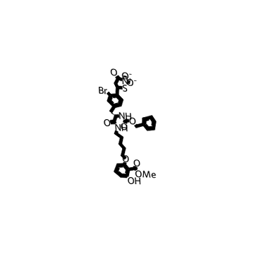 COC(=O)c1c(O)cccc1OCCCCCNC(=O)[C@H](Cc1ccc(C2CC(=O)[N+]([O-])([O-])S2)c(Br)c1)NC(=O)OCc1ccccc1